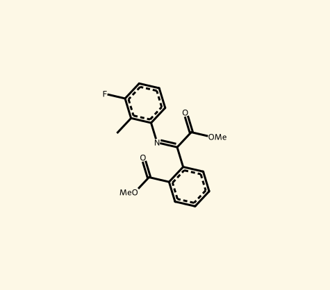 COC(=O)C(=Nc1cccc(F)c1C)c1ccccc1C(=O)OC